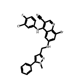 Cn1nc(CNc2cc(Br)c3ncc(C#N)c(Nc4ccc(F)c(Cl)c4)c3c2)cc1-c1ccccc1